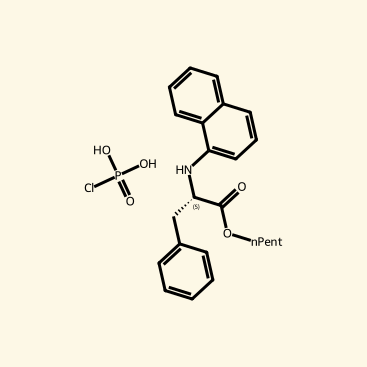 CCCCCOC(=O)[C@H](Cc1ccccc1)Nc1cccc2ccccc12.O=P(O)(O)Cl